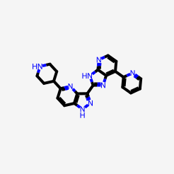 c1ccc(-c2ccnc3[nH]c(-c4n[nH]c5ccc(C6CCNCC6)nc45)nc23)nc1